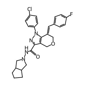 O=C(NN1CC2CCCC2C1)c1nn(-c2ccc(Cl)cc2)c2c1COC/C2=C\c1ccc(F)cc1